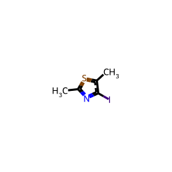 Cc1nc(I)c(C)s1